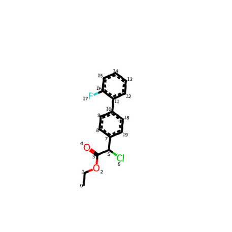 CCOC(=O)C(Cl)c1ccc(-c2ccccc2F)cc1